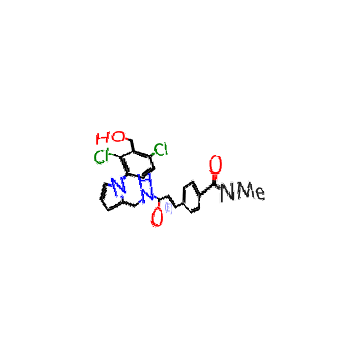 CNC(=O)c1ccc(/C=C/C(=O)NCc2cccn2-c2ccc(Cl)c(CO)c2Cl)cc1